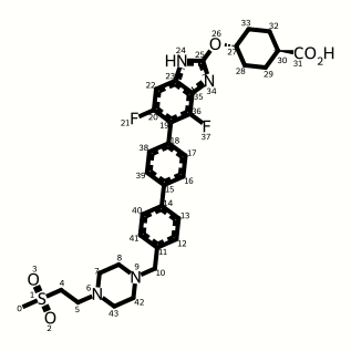 CS(=O)(=O)CCN1CCN(Cc2ccc(-c3ccc(-c4c(F)cc5[nH]c(O[C@H]6CC[C@H](C(=O)O)CC6)nc5c4F)cc3)cc2)CC1